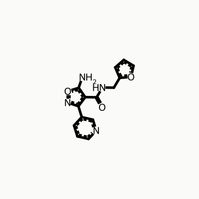 Nc1onc(-c2cccnc2)c1C(=O)NCc1ccco1